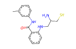 Cc1cccc(NC(=O)c2ccccc2NCC(N)CS)c1